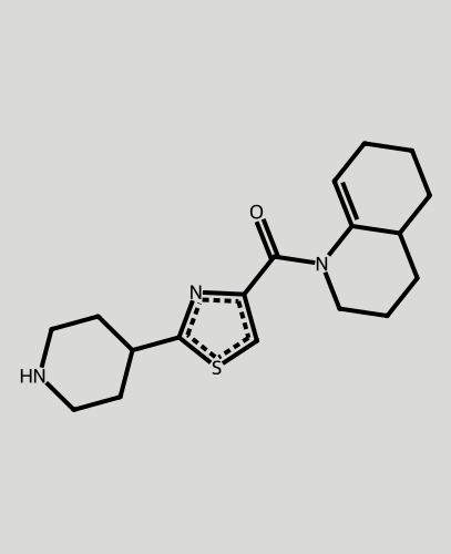 O=C(c1csc(C2CCNCC2)n1)N1CCCC2CCCC=C21